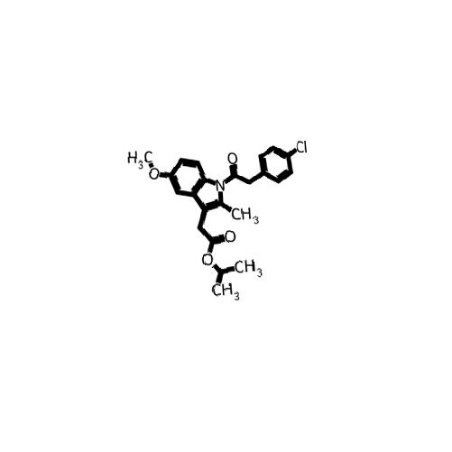 COc1ccc2c(c1)c(CC(=O)OC(C)C)c(C)n2C(=O)Cc1ccc(Cl)cc1